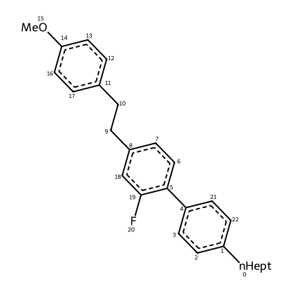 CCCCCCCc1ccc(-c2ccc(CCc3ccc(OC)cc3)cc2F)cc1